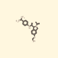 C=C(Nc1ccc(C(C(F)(F)F)C(F)(F)F)cc1)C1c2ccc(SCC(C)C)cc2CN1C(=C)C